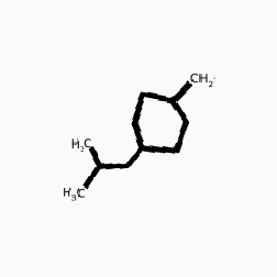 [CH2]C1CCC(CC(C)C)CC1